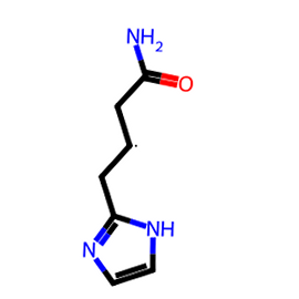 NC(=O)C[CH]Cc1ncc[nH]1